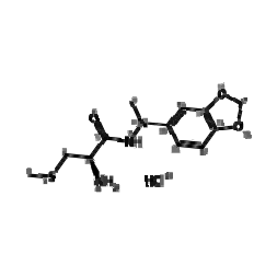 CSC[C@H](N)C(=O)NN(C)c1ccc2c(c1)OCO2.Cl